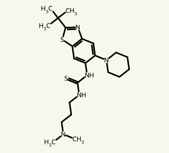 CN(C)CCCNC(=S)Nc1cc2sc(C(C)(C)C)nc2cc1N1CCCCC1